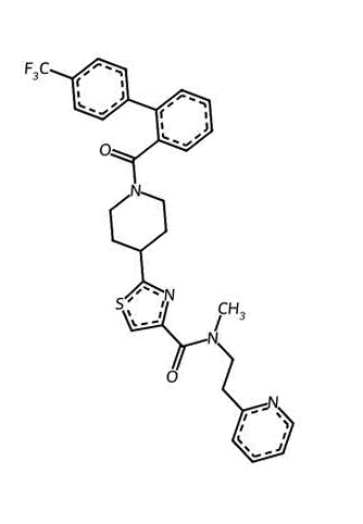 CN(CCc1ccccn1)C(=O)c1csc(C2CCN(C(=O)c3ccccc3-c3ccc(C(F)(F)F)cc3)CC2)n1